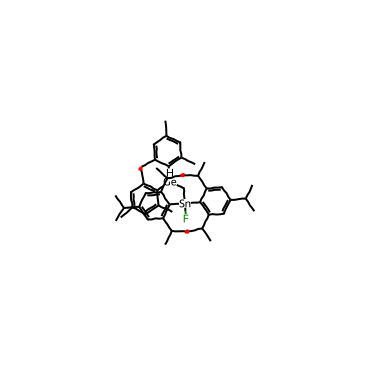 Cc1cc(C)[c]([GeH]([CH2][Sn]([F])([c]2c(C(C)C)cc(C(C)C)cc2C(C)C)[c]2c(C(C)C)cc(C(C)C)cc2C(C)C)[c]2c(C)cc(C)cc2C)c(C)c1